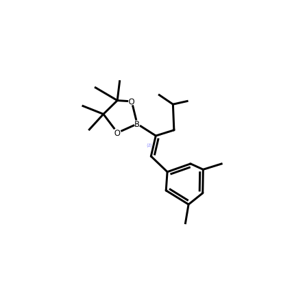 Cc1cc(C)cc(/C=C(\CC(C)C)B2OC(C)(C)C(C)(C)O2)c1